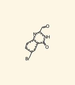 O=Cc1nc2ccc(Br)cc2c(=O)[nH]1